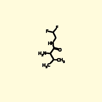 CC(C)C(N)C(=O)NCC(F)F